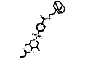 C=CC(=O)NC1C(C)CN(S(=O)(=O)c2ccc(C(=O)NCCC34CC5CC(CC(C5)C3)C4)cc2)CC1C